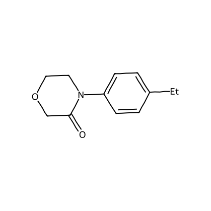 [CH2]Cc1ccc(N2CCOCC2=O)cc1